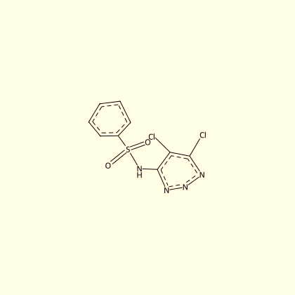 O=S(=O)(Nc1nnnc(Cl)c1Cl)c1ccccc1